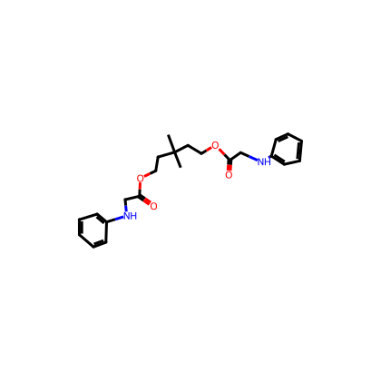 CC(C)(CCOC(=O)CNc1ccccc1)CCOC(=O)CNc1ccccc1